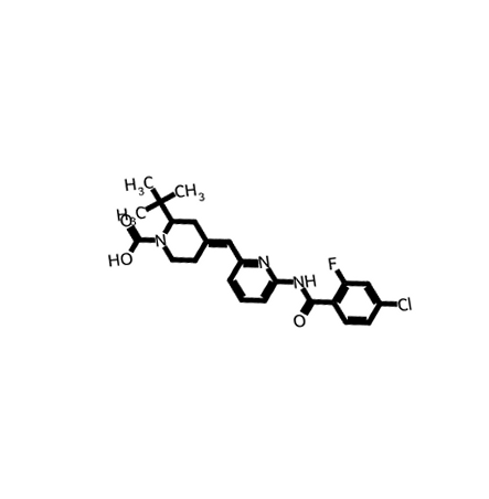 CC(C)(C)C1CC(=Cc2cccc(NC(=O)c3ccc(Cl)cc3F)n2)CCN1C(=O)O